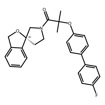 CC(C)(Oc1ccc(-c2ccc(F)cc2)cc1)C(=O)N1CC[C@@]2(C1)OCc1ccccc12